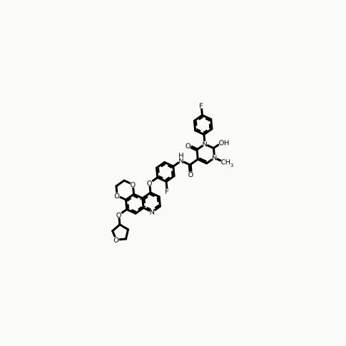 CN1C=C(C(=O)Nc2ccc(Oc3ccnc4cc(OC5CCOC5)c5c(c34)OCCO5)c(F)c2)C(=O)N(c2ccc(F)cc2)C1O